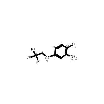 Cc1cc(OCC(F)(F)F)ccc1Cl